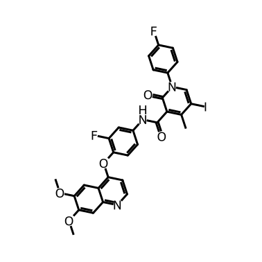 COc1cc2nccc(Oc3ccc(NC(=O)c4c(C)c(I)cn(-c5ccc(F)cc5)c4=O)cc3F)c2cc1OC